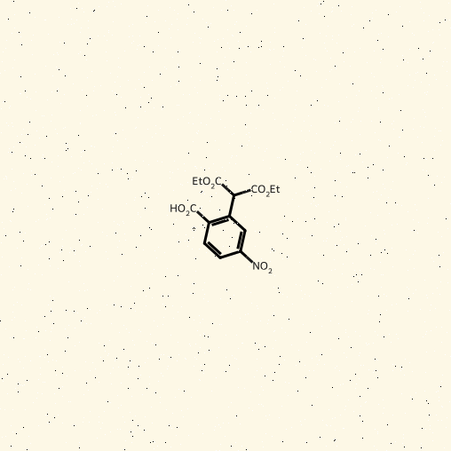 CCOC(=O)C(C(=O)OCC)c1cc([N+](=O)[O-])ccc1C(=O)O